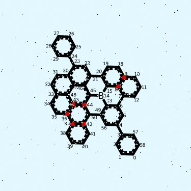 c1ccc(-c2cc(-c3ccccc3)c(B3c4ccccc4-c4cc(-c5ccccc5)c5ccc6ccc(-c7ccccc7)c7cc3c4c5c67)c(-c3ccccc3)c2)cc1